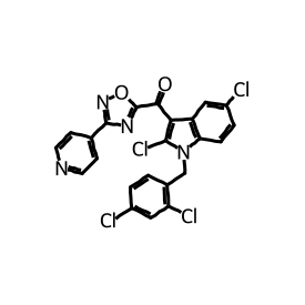 O=C(c1nc(-c2ccncc2)no1)c1c(Cl)n(Cc2ccc(Cl)cc2Cl)c2ccc(Cl)cc12